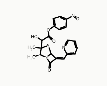 C[C@@H]1N2C(=O)/C(=C/c3ccccn3)C2SC1(C)C(O)C(=O)Oc1ccc(N=O)cc1